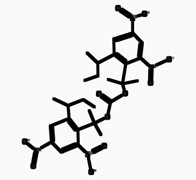 CCC(C)c1cc([N+](=O)[O-])cc([N+](=O)[O-])c1C(C)(C)OC(=O)OC(C)(C)c1c(C(C)CC)cc([N+](=O)[O-])cc1[N+](=O)[O-]